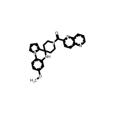 COc1ccc2c(c1)NC1(CCN(C(=O)c3ccc4ncccc4n3)CC1)c1cccn1-2